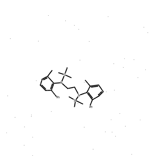 Cc1cccc(C(C)C)c1N(CCN(c1c(C)cccc1C(C)C)[Si](C)(C)C)[Si](C)(C)C